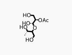 CC(=O)O[C@H](CO)[C@@H](O)OC(CO)[C@H](C)O